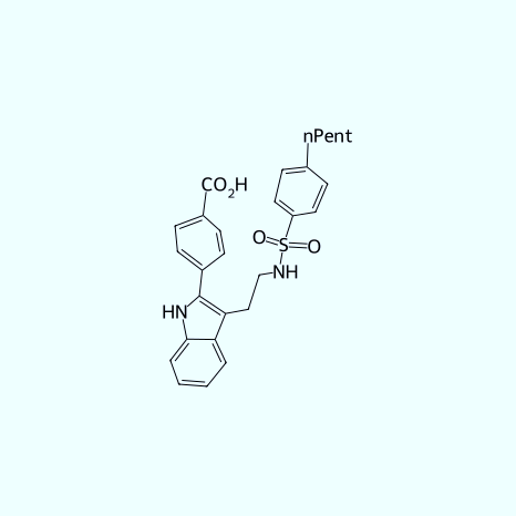 CCCCCc1ccc(S(=O)(=O)NCCc2c(-c3ccc(C(=O)O)cc3)[nH]c3ccccc23)cc1